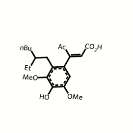 CCCCC(CC)Cc1c(C(=CC(=O)O)C(C)=O)cc(OC)c(O)c1OC